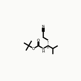 CC(C)[C@@H](CCC#N)NC(=O)OC(C)(C)C